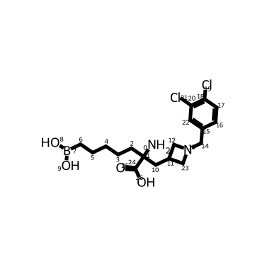 NC(CCCCCB(O)O)(CC1CN(Cc2ccc(Cl)c(Cl)c2)C1)C(=O)O